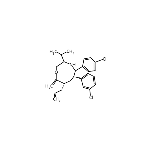 C=CC[C@H]1C[C@H](c2cccc(Cl)c2)C(c2ccc(Cl)cc2)NC(C(C)C)COC1=C